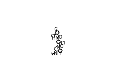 O=C(Nc1ccc(C(=O)N2CCCC(NC3CC3)c3ccccc32)c(Cl)c1)c1ccc(Cl)cc1Cl